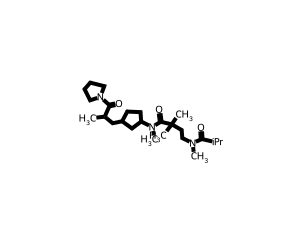 CC(C)C(=O)N(C)CCC(C)(C)C(=O)N(C)C1CCC(CC(C)C(=O)N2CCCC2)C1